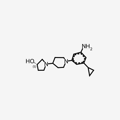 Nc1cc(C2CC2)cc(N2CCC(N3CC[C@H](O)C3)CC2)c1